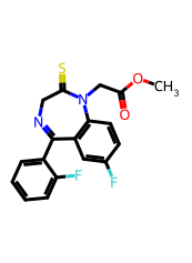 COC(=O)CN1C(=S)CN=C(c2ccccc2F)c2cc(F)ccc21